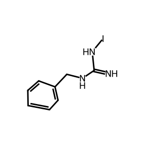 N=C(NI)NCc1ccccc1